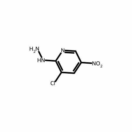 NNc1ncc([N+](=O)[O-])cc1Cl